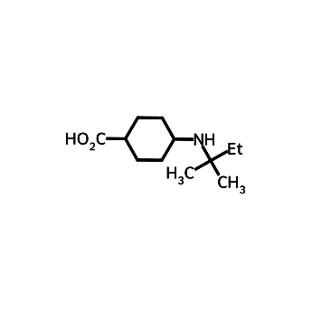 CCC(C)(C)NC1CCC(C(=O)O)CC1